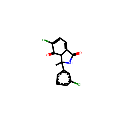 CC1(c2cccc(Cl)c2)NC(=O)C2=CC=C(Cl)C(=O)C21